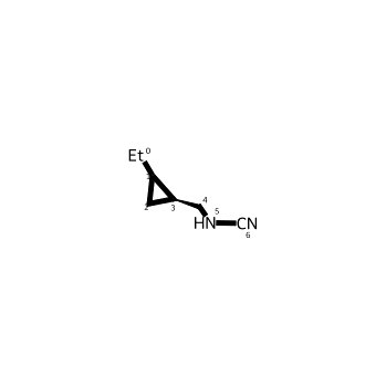 CCC1C[C@@H]1CNC#N